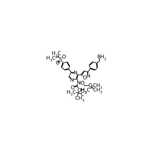 BCc1ccc(-c2cc(-c3nc(-c4ccc(S(=O)(=O)C(C)C)cc4)cnc3N(OCOC(C)(C)C)C(=O)OC(C)(C)C)on2)cc1